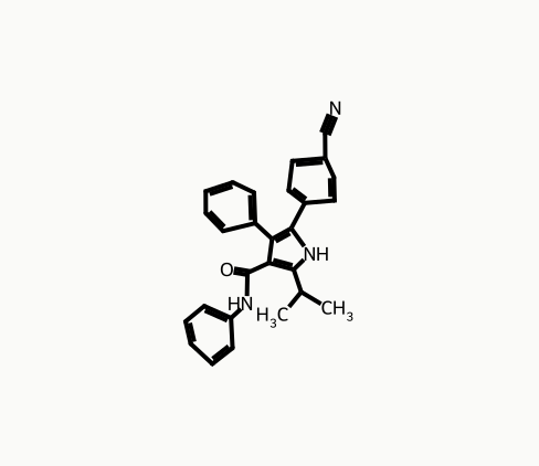 CC(C)c1[nH]c(-c2ccc(C#N)cc2)c(-c2ccccc2)c1C(=O)Nc1ccccc1